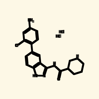 Cl.Cl.Nc1ccc(-c2ccc3[nH]nc(NC(=O)C4CCCNC4)c3c2)c(Cl)c1